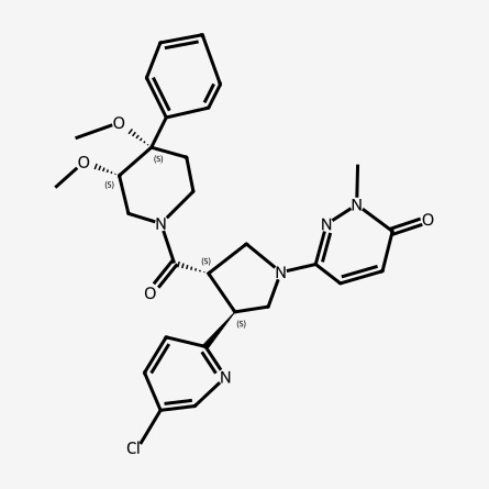 CO[C@H]1CN(C(=O)[C@@H]2CN(c3ccc(=O)n(C)n3)C[C@H]2c2ccc(Cl)cn2)CC[C@]1(OC)c1ccccc1